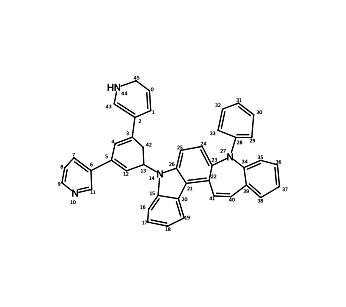 C1=CC(C2=CC(c3cccnc3)=CC(n3c4ccccc4c4c5c(ccc43)N(c3ccccc3)c3ccccc3C=C5)C2)=CNC1